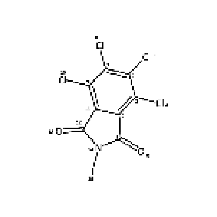 O=C1c2c(Cl)c(Cl)c(Cl)c(Cl)c2C(=O)N1I